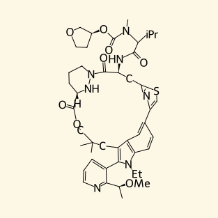 CCn1c(-c2cccnc2[C@H](C)OC)c2c3cc(ccc31)-c1csc(n1)C[C@H](NC(=O)C(C(C)C)N(C)C(=O)O[C@H]1CCOC1)C(=O)N1CCC[C@H](N1)C(=O)OCC(C)(C)C2